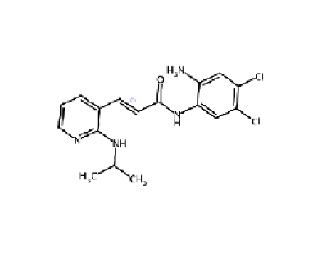 CC(C)Nc1ncccc1/C=C/C(=O)Nc1cc(Cl)c(Cl)cc1N